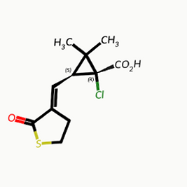 CC1(C)[C@H](C=C2CCSC2=O)[C@]1(Cl)C(=O)O